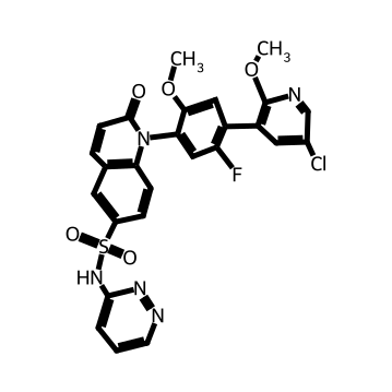 COc1cc(-c2cc(Cl)cnc2OC)c(F)cc1-n1c(=O)ccc2cc(S(=O)(=O)Nc3cccnn3)ccc21